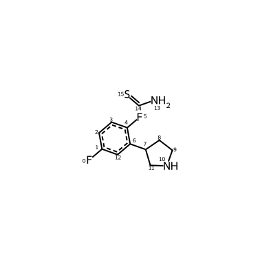 Fc1ccc(F)c(C2CCNC2)c1.NC=S